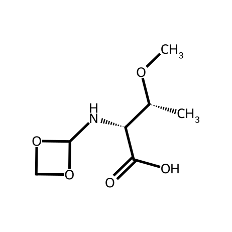 CO[C@H](C)[C@@H](NC1OCO1)C(=O)O